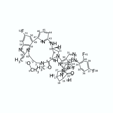 CO[C@H]1CN(C)C(=O)[C@@H]2C[C@@H](CN2c2nc(N3[C@H]4C[C@@H]3C(=O)N(CC(F)F)C4)nc3c2cnn3-c2ccc(F)cc2F)Nc2cccc(n2)-c2cc(F)cc3nc(C)n(c23)C1